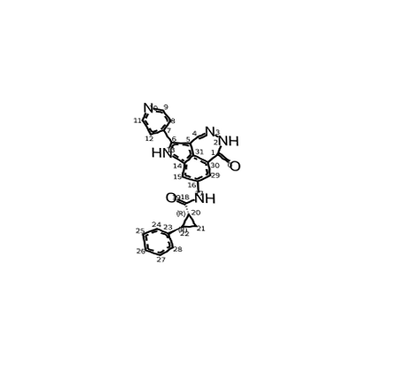 O=C1NN=Cc2c(-c3ccncc3)[nH]c3cc(NC(=O)[C@@H]4C[C@H]4c4ccccc4)cc1c23